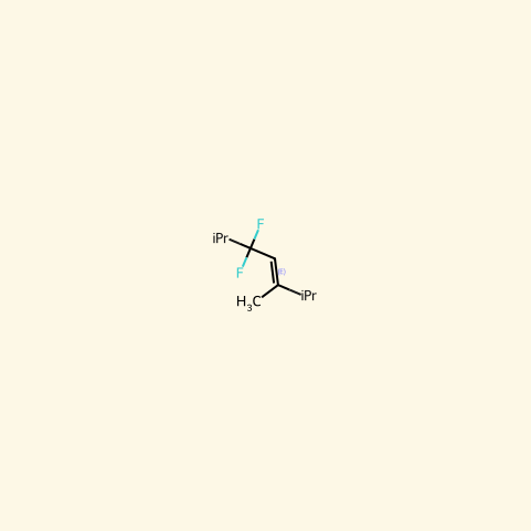 C/C(=C\C(F)(F)C(C)C)C(C)C